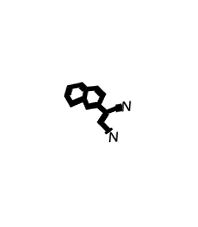 N#CC=C(C#N)c1ccc2ccccc2c1